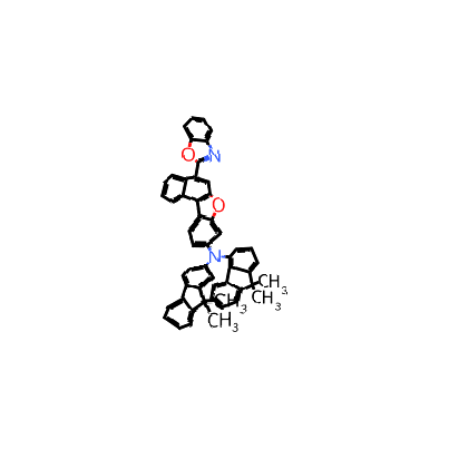 CC1(C)c2ccccc2-c2ccc(N(c3ccc4c(c3)oc3cc(-c5nc6ccccc6o5)c5ccccc5c34)c3cccc4c3-c3ccccc3C4(C)C)cc21